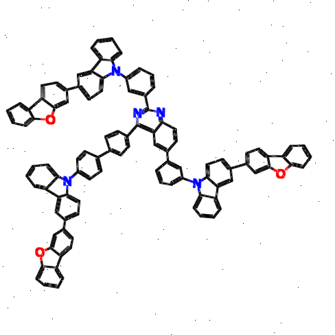 c1cc(-c2ccc3nc(-c4cccc(-n5c6ccccc6c6cc(-c7ccc8c(c7)oc7ccccc78)ccc65)c4)nc(-c4ccc(-c5ccc(-n6c7ccccc7c7cc(-c8ccc9c(c8)oc8ccccc89)ccc76)cc5)cc4)c3c2)cc(-n2c3ccccc3c3cc(-c4ccc5c(c4)oc4ccccc45)ccc32)c1